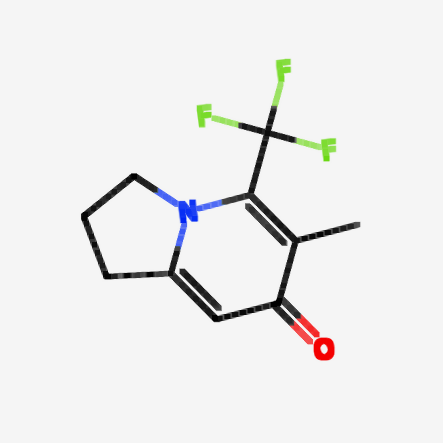 Cc1c(C(F)(F)F)n2c(cc1=O)CCC2